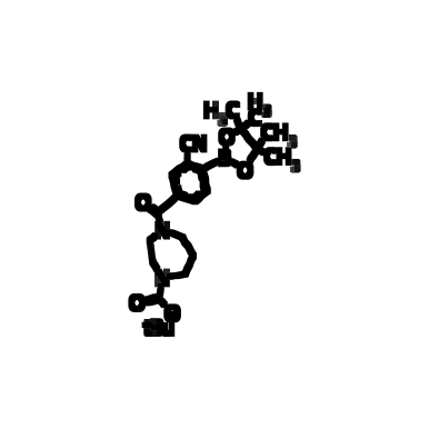 CC(C)(C)OC(=O)N1CCCN(C(=O)c2ccc(B3OC(C)(C)C(C)(C)O3)c(C#N)c2)CC1